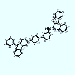 c1ccc(-n2c3ccccc3c3cc(-c4ccc(-c5cccc(Nc6cc7ccccc7c7c6oc6ccccc67)c5)cc4)ccc32)cc1